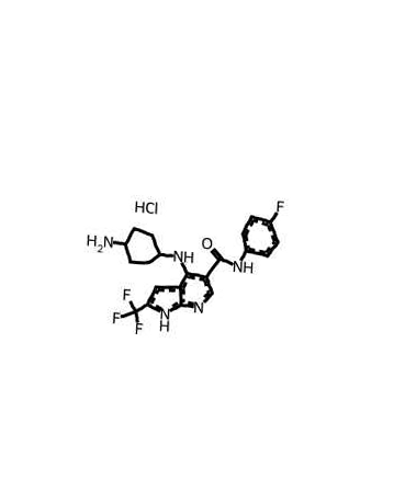 Cl.NC1CCC(Nc2c(C(=O)Nc3ccc(F)cc3)cnc3[nH]c(C(F)(F)F)cc23)CC1